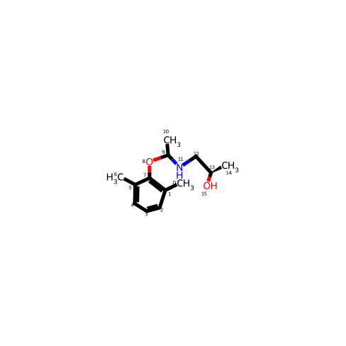 Cc1cccc(C)c1OC(C)NC[C@@H](C)O